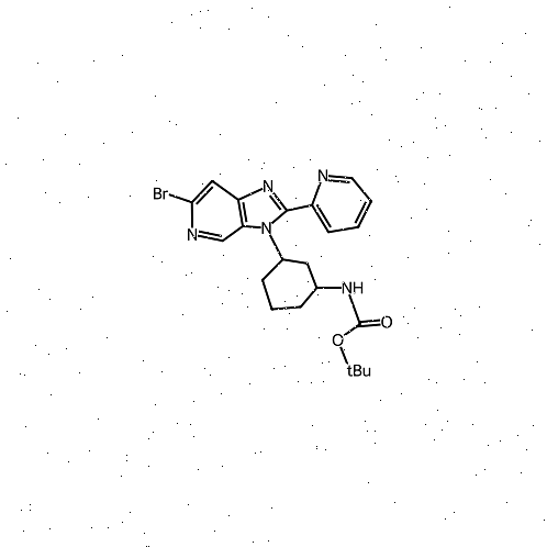 CC(C)(C)OC(=O)NC1CCCC(n2c(-c3ccccn3)nc3cc(Br)ncc32)C1